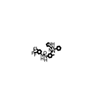 Cc1ccc(NC(=O)Nc2ccc(Cl)c(C(F)(F)F)c2)cc1-c1nc(-c2ccccc2)nc(-c2ccc[nH]2)n1